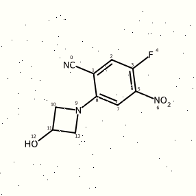 N#Cc1cc(F)c([N+](=O)[O-])cc1N1CC(O)C1